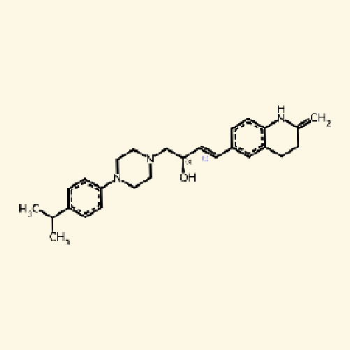 C=C1CCc2cc(/C=C/[C@@H](O)CN3CCN(c4ccc(C(C)C)cc4)CC3)ccc2N1